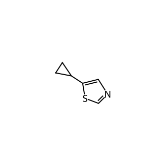 c1ncc(C2CC2)s1